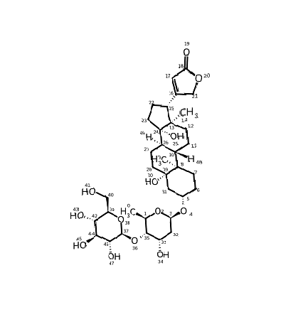 C[C@H]1O[C@@H](O[C@H]2CC[C@]3(C)[C@H]4CC[C@]5(C)[C@@H](C6=CC(=O)OC6)CC[C@]5(O)[C@@H]4CC[C@]3(O)C2)C[C@H](O)[C@@H]1O[C@@H]1O[C@H](CO)[C@@H](O)[C@H](O)[C@H]1O